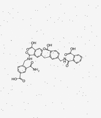 NC(=O)c1cc(C(=O)O)ccc1CNC(=O)c1cc(Cc2cc(CNC(=O)c3ccccc3C(=O)O)ccc2C(=O)O)ccc1C(=O)O